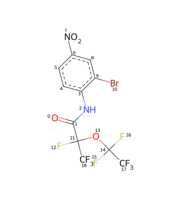 O=C(Nc1ccc([N+](=O)[O-])cc1Br)C(F)(OC(F)(F)C(F)(F)F)C(F)(F)F